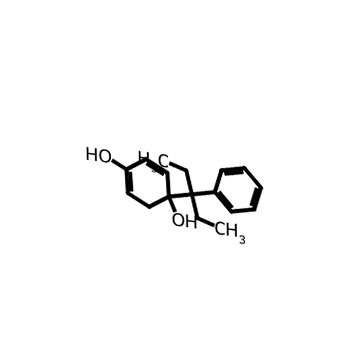 CCC(CC)(c1ccccc1)C1(O)C=CC(O)=CC1